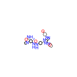 COC1CCC(n2ncc3c(N4CC5CCC(C4)O5)nc(-c4ccc(NC(=O)Nc5ccc(C(N)=O)c(-n6cccc6)c5)cc4)nc32)CC1